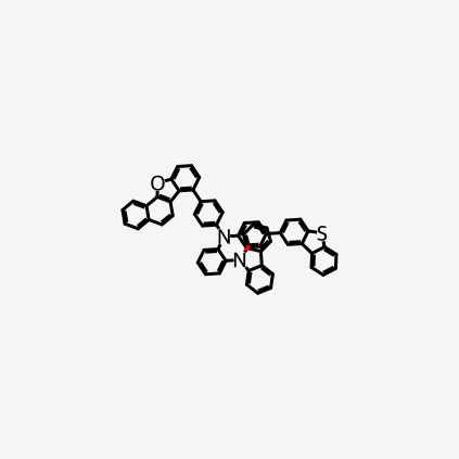 c1ccc(-n2c3ccccc3c3ccccc32)c(N(c2ccc(-c3ccc4sc5ccccc5c4c3)cc2)c2ccc(-c3cccc4oc5c6ccccc6ccc5c34)cc2)c1